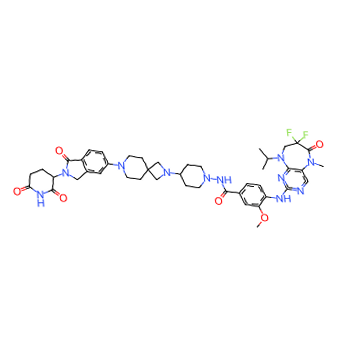 COc1cc(C(=O)NN2CCC(N3CC4(CCN(c5ccc6c(c5)CN(C5CCC(=O)NC5=O)C6=O)CC4)C3)CC2)ccc1Nc1ncc2c(n1)N(C(C)C)CC(F)(F)C(=O)N2C